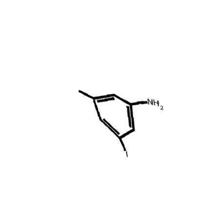 Cc1cc(N)cc(I)c1